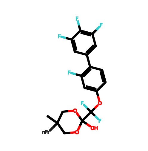 CCCC1(C)COC(O)(C(F)(F)Oc2ccc(-c3cc(F)c(F)c(F)c3)c(F)c2)OC1